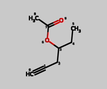 C#C[CH]C(CC)OC(C)=O